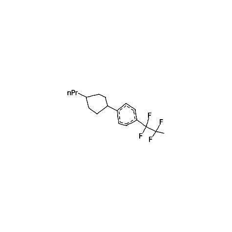 CCCC1CCC(c2ccc(C(F)(F)C(C)(F)F)cc2)CC1